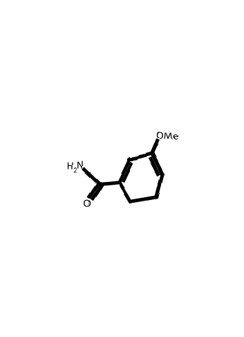 COC1=CCCC(C(N)=O)=C1